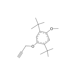 C#CCOc1cc(C(C)(C)C)c(OC)cc1C(C)(C)C